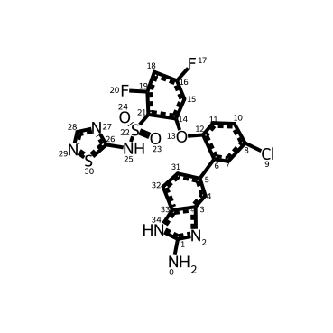 Nc1nc2cc(-c3cc(Cl)ccc3Oc3cc(F)cc(F)c3S(=O)(=O)Nc3ncns3)ccc2[nH]1